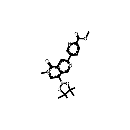 COC(=O)c1ccc(-c2cc3c(=O)n(C)cc(B4OC(C)(C)C(C)(C)O4)c3cn2)cn1